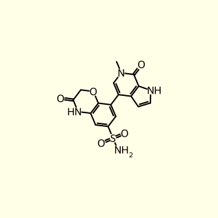 Cn1cc(-c2cc(S(N)(=O)=O)cc3c2OCC(=O)N3)c2cc[nH]c2c1=O